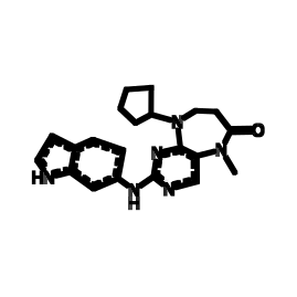 CN1C(=O)CCN(C2CCCC2)c2nc(Nc3ccc4cc[nH]c4c3)ncc21